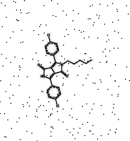 CCCCCN1C(=O)C2=C(c3ccc(Cl)cc3)NC(=O)C2=C1c1ccc(Cl)cc1